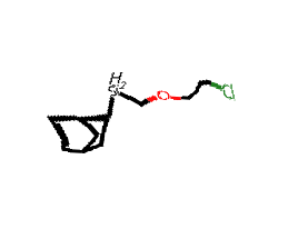 ClCCOC[SiH2]C1CC2C=CC1C2